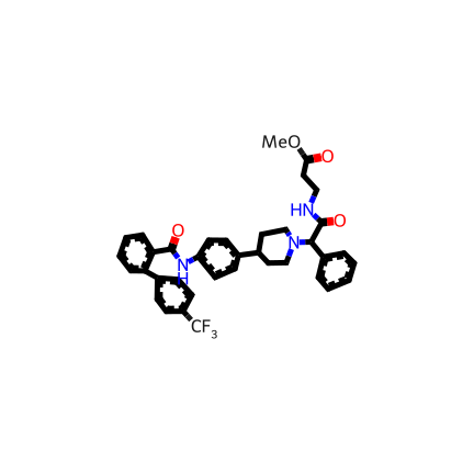 COC(=O)CCNC(=O)C(c1ccccc1)N1CCC(c2ccc(NC(=O)c3ccccc3-c3ccc(C(F)(F)F)cc3)cc2)CC1